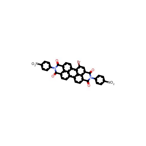 O=C1c2ccc3c4ccc5c6c(cc(Br)c(c7ccc(c2c37)C(=O)N1c1ccc([N+](=O)[O-])cc1)c64)C(=O)N(c1ccc([N+](=O)[O-])cc1)C5=O